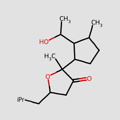 CC(C)CC1CC(=O)C(C)(C2CCC(C)C2C(C)O)O1